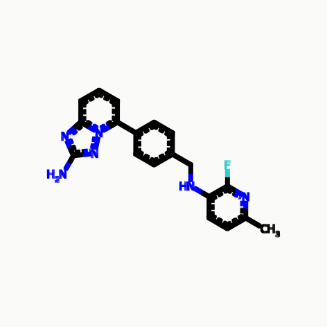 Cc1ccc(NCc2ccc(-c3cccc4nc(N)nn34)cc2)c(F)n1